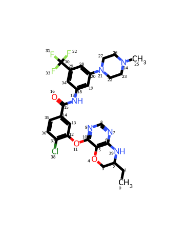 CCC1COc2c(ncnc2Oc2cc(C(=O)Nc3cc(N4CCN(C)CC4)cc(C(F)(F)F)c3)ccc2Cl)N1